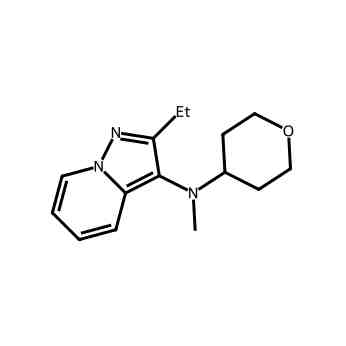 CCc1nn2ccccc2c1N(C)C1CCOCC1